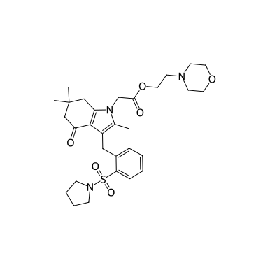 Cc1c(Cc2ccccc2S(=O)(=O)N2CCCC2)c2c(n1CC(=O)OCCN1CCOCC1)CC(C)(C)CC2=O